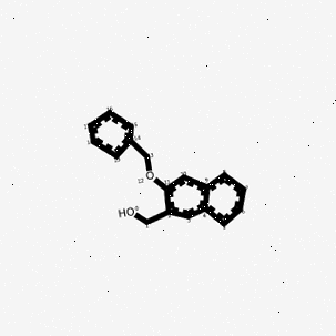 OCc1cc2ccccc2cc1OCc1ccccc1